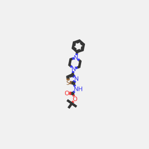 CC(C)(C)OC(=O)Nc1nc(N2CCN(c3ccccc3)CC2)cs1